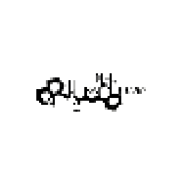 COc1cccc2c1nc(N)n1nc(C(=O)NCc3cccc4cccnc34)cc21